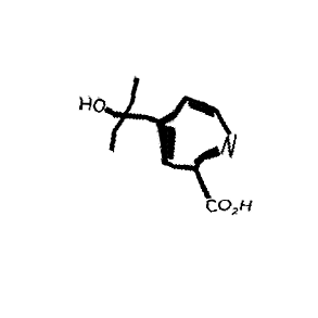 CC(C)(O)c1ccnc(C(=O)O)c1